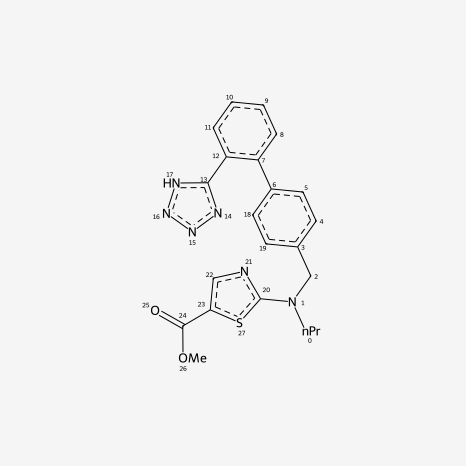 CCCN(Cc1ccc(-c2ccccc2-c2nnn[nH]2)cc1)c1ncc(C(=O)OC)s1